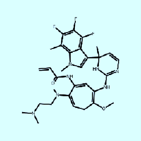 C=CC(=O)NC1=CC(NC2=NC=CC(C)(c3cn(C)c4c(C)c(F)c(F)c(F)c34)N2)=C(OC)CC=C1N(C)CCN(C)C